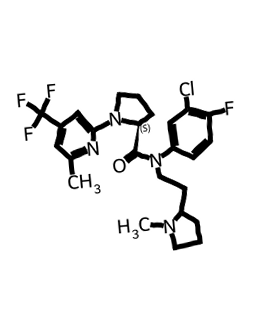 Cc1cc(C(F)(F)F)cc(N2CCC[C@H]2C(=O)N(CCC2CCCN2C)c2ccc(F)c(Cl)c2)n1